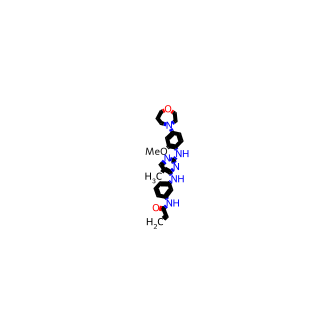 C=CC(=O)Nc1cccc(Nc2nc(Nc3ccc(N4CCCOCC4)cc3OC)ncc2C)c1